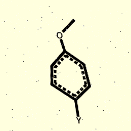 COc1cc[c]([Y])cc1